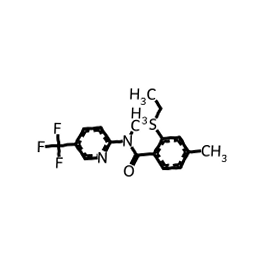 CCSc1cc(C)ccc1C(=O)N(C)c1ccc(C(F)(F)F)cn1